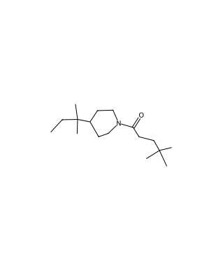 CCC(C)(C)C1CCN(C(=O)CCC(C)(C)C)CC1